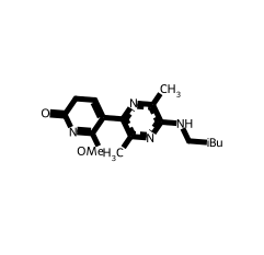 CCC(C)CNc1nc(C)c(C2=CCC(=O)N=C2OC)nc1C